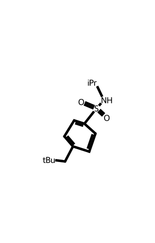 CC(C)NS(=O)(=O)c1ccc(CC(C)(C)C)cc1